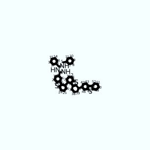 NC(NC(NCc1ccccc1)c1ccccc1)c1ccc2sc3cccc(-c4cccc5sc6c(c45)C=CCC6c4ccc5c(c4)sc4ccccc45)c3c2c1